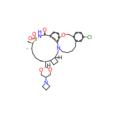 C[C@@H]1[C@@H](C)CCC[C@H]([C@H]2OC[C@H](N3CCC3)CO2)[C@@H]2CC[C@H]2CN2CCCCc3cc(Cl)ccc3COc3ccc(cc32)C(=O)NS1(=O)=O